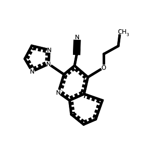 CCCOc1c(C#N)c(-n2nccn2)nc2ccccc12